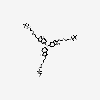 CC(C)(C)[Si](C)(C)OCCOCCc1cc2c[c]([Bi]([c]3ccc4[nH]c(CCOCCO[Si](C)(C)C(C)(C)C)cc4c3)[c]3ccc4[nH]c(CCOCCO[Si](C)(C)C(C)(C)C)cc4c3)ccc2[nH]1